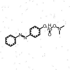 CN(C)O[AsH](=O)Oc1ccc(/N=N/c2ccccc2)cc1